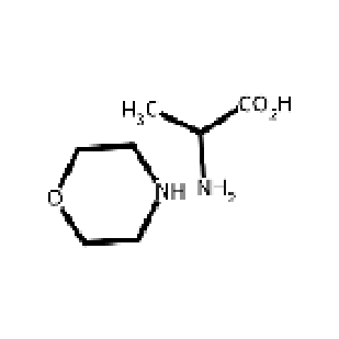 C1COCCN1.CC(N)C(=O)O